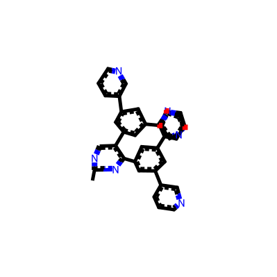 Cc1ncc(-c2cc(-c3cccnc3)cc(-c3cccnc3)c2)c(-c2cc(-c3cccnc3)cc(-c3cccnc3)c2)n1